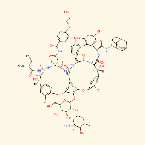 CN[C@H](CC(C)C)C(=O)N[C@H]1C(=O)N[C@@H](CC(=O)NC(=O)c2ccc(OCCO)cc2)C(=O)N[C@H]2C(=O)N[C@H]3C(=O)N[C@H](C(=O)N[C@H](C(=O)NC4C5CC6CC(C5)CC4C6)c4cc(O)cc(O)c4-c4cc3ccc4O)[C@H](O)c3ccc(c(Cl)c3)Oc3cc2cc(c3O[C@@H]2O[C@H](CO)[C@@H](O)[C@H](O)[C@H]2O[C@H]2C[C@](C)(N)[C@H](O)[C@H](C)O2)Oc2ccc(cc2Cl)[C@H]1O